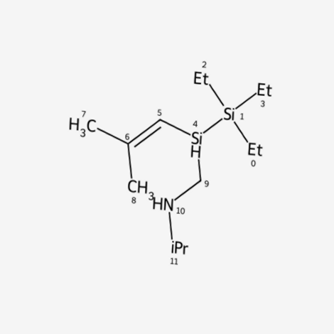 CC[Si](CC)(CC)[SiH](C=C(C)C)CNC(C)C